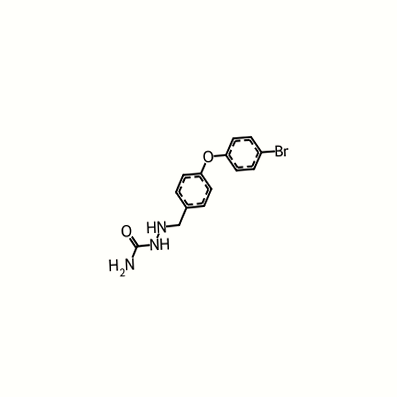 NC(=O)NNCc1ccc(Oc2ccc(Br)cc2)cc1